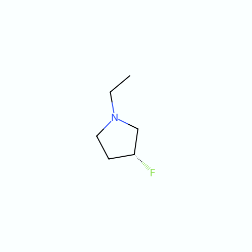 CCN1CC[C@@H](F)C1